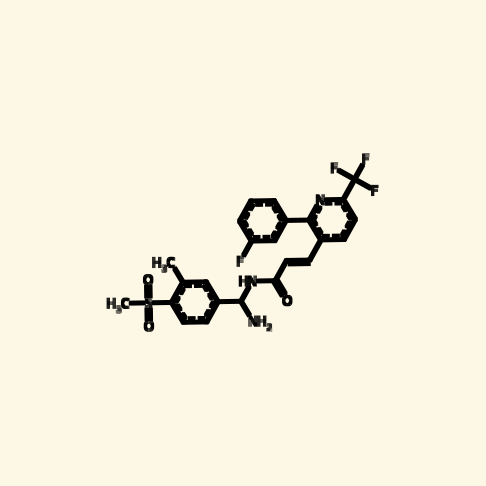 Cc1cc(C(N)NC(=O)C=Cc2ccc(C(F)(F)F)nc2-c2cccc(F)c2)ccc1S(C)(=O)=O